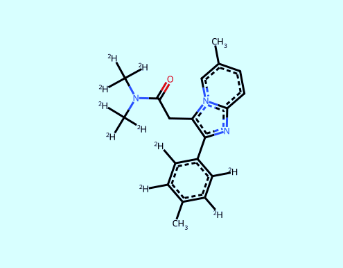 [2H]c1c([2H])c(-c2nc3ccc(C)cn3c2CC(=O)N(C([2H])([2H])[2H])C([2H])([2H])[2H])c([2H])c([2H])c1C